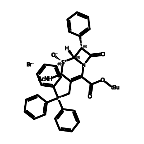 CC(=O)NC1C(C[P+](c2ccccc2)(c2ccccc2)c2ccccc2)=C(C(=O)OC(C)(C)C)N2C(=O)[C@@H](c3ccccc3)[C@H]2[S@@+]1[O-].[Br-]